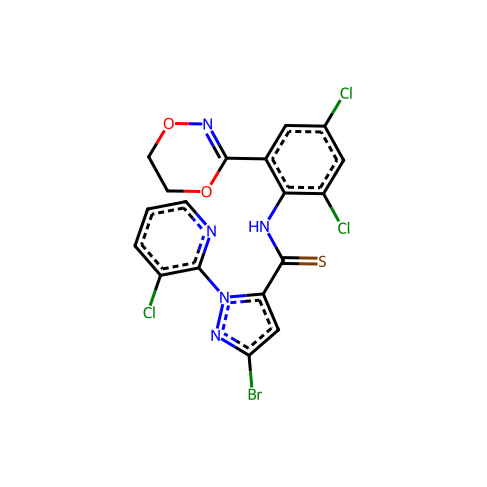 S=C(Nc1c(Cl)cc(Cl)cc1C1=NOCCO1)c1cc(Br)nn1-c1ncccc1Cl